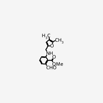 COC(=O)c1c(C=O)cccc1NCc1cc(C)c(C)o1